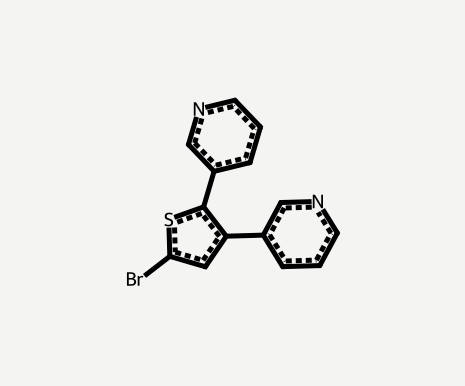 Brc1cc(-c2cccnc2)c(-c2cccnc2)s1